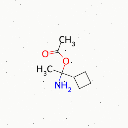 CC(=O)OC(C)(N)C1CCC1